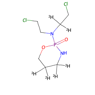 [2H]C([2H])(CCl)N(CCCl)P1(=O)NC([2H])([2H])C([2H])([2H])CO1